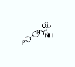 Fc1ccc(C2CCN(CC3CNCC3C3OCCO3)CC2)cc1